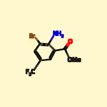 COC(=O)c1cc(C(F)(F)F)cc(Br)c1N